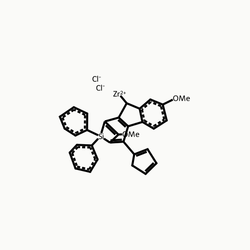 COC1=C2C3=C(C(C4=CC=CC4)=C1[Si]2(c1ccccc1)c1ccccc1)c1ccc(OC)cc1[CH]3[Zr+2].[Cl-].[Cl-]